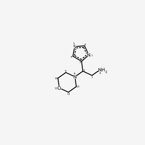 NCC(c1cscn1)N1CCOCC1